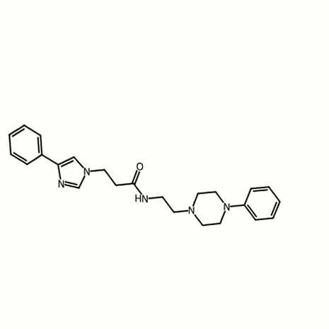 O=C(CCn1cnc(-c2ccccc2)c1)NCCN1CCN(c2ccccc2)CC1